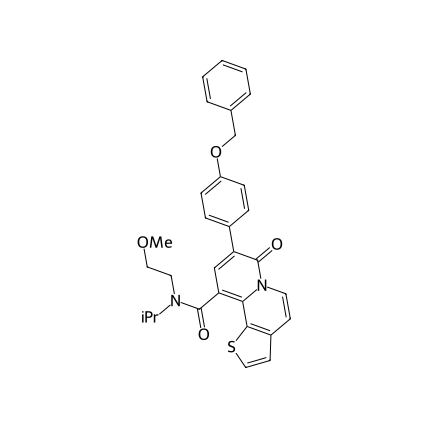 COCCN(C(=O)c1cc(-c2ccc(OCc3ccccc3)cc2)c(=O)n2ccc3ccsc3c12)C(C)C